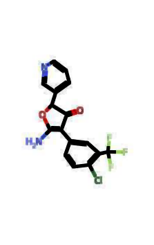 NC1=C(c2ccc(Cl)c(C(F)(F)F)c2)C(=O)C(c2cccnc2)O1